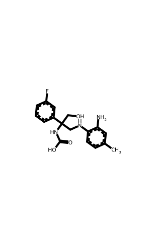 Cc1ccc(NCC(CO)(NC(=O)O)c2cccc(F)c2)c(N)c1